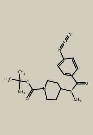 CN(C(=O)c1ccc(N=[N+]=[N-])cc1)C1CCN(C(=O)OC(C)(C)C)CC1